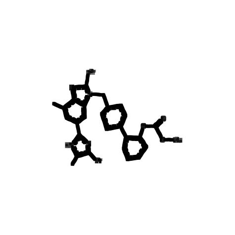 CCCc1nc2c(C)cc(-c3nc(C(C)C)c(C)[nH]3)cc2n1Cc1ccc(-c2ccccc2OC(=O)OC(C)(C)C)cc1